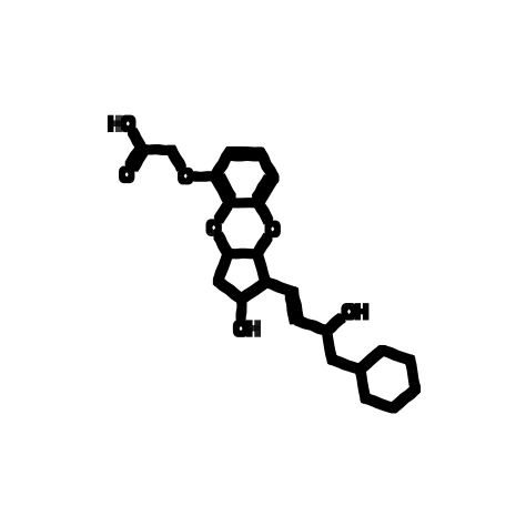 O=C(O)COc1cccc2c1OC1CC(O)C(/C=C/C(O)CC3CCCCC3)C1O2